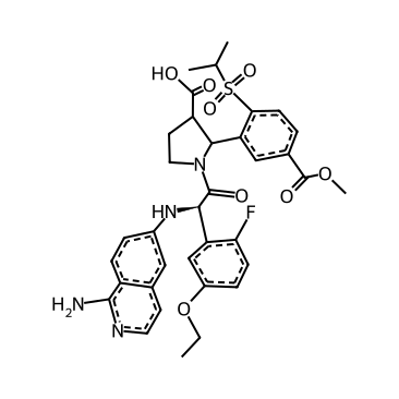 CCOc1ccc(F)c([C@@H](Nc2ccc3c(N)nccc3c2)C(=O)N2CCC(C(=O)O)C2c2cc(C(=O)OC)ccc2S(=O)(=O)C(C)C)c1